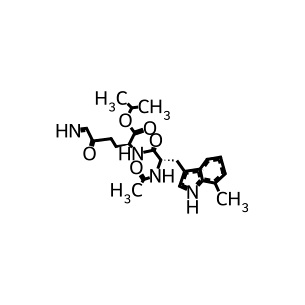 CC(=O)N[C@@H](Cc1c[nH]c2c(C)cccc12)C(=O)N[C@@H](CCC(=O)C=N)C(=O)OC(C)C